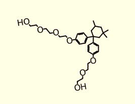 CC1CC(C)(C)CC(c2ccc(OCCOCCO)cc2)(c2ccc(OCCOCCOCCO)cc2)C1